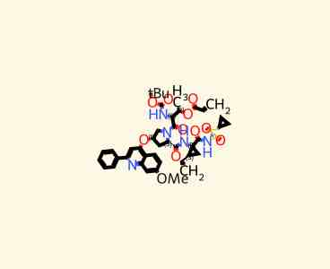 C=CC(=O)O[C@H](C)[C@H](NC(=O)OC(C)(C)C)C(=O)N1C[C@H](Oc2cc(-c3ccccc3)nc3cc(OC)ccc23)C[C@H]1C(=O)N[C@]1(C(=O)NS(=O)(=O)C2CC2)C[C@H]1C=C